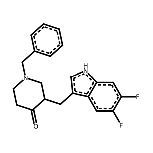 O=C1CCN(Cc2ccccc2)CC1Cc1c[nH]c2cc(F)c(F)cc12